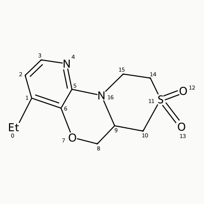 CCc1ccnc2c1OCC1CS(=O)(=O)CCN21